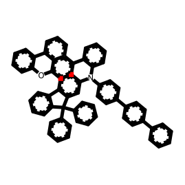 c1ccc(-c2ccc(-c3ccc(N(c4ccc5c(c4)C(c4ccccc4)(c4ccccc4)c4ccccc4-5)c4ccccc4-c4ccc5c6c(cccc46)-c4ccccc4O5)cc3)cc2)cc1